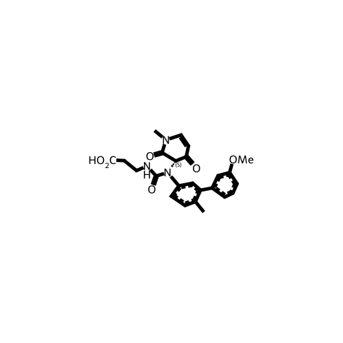 COc1cccc(-c2cc(N(C(=O)NCCC(=O)O)[C@H]3C(=O)C=CN(C)C3=O)ccc2C)c1